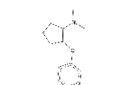 CN(C)C1CCCC1Oc1ccccc1